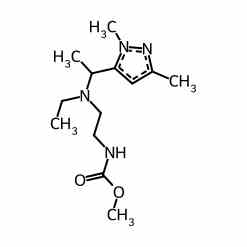 CCN(CCNC(=O)OC)C(C)c1cc(C)nn1C